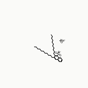 C=O.CCCCCCCCCCCc1cc2ccccc2c(S(=O)(=O)[O-])c1CCCCCCCCCCC.[Na+]